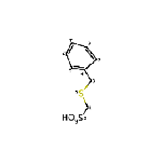 O=S(=O)(O)CSCc1ccccc1